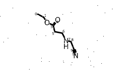 CCOC(=O)CCNCC#N